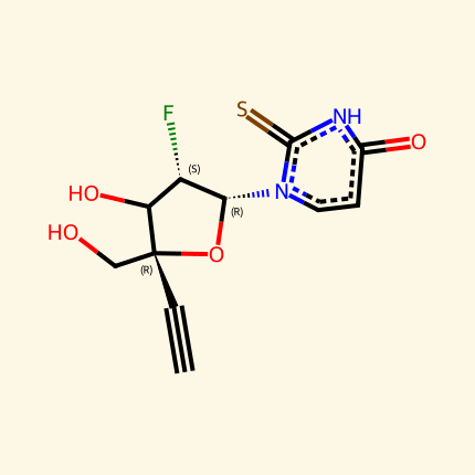 C#C[C@]1(CO)O[C@@H](n2ccc(=O)[nH]c2=S)[C@@H](F)C1O